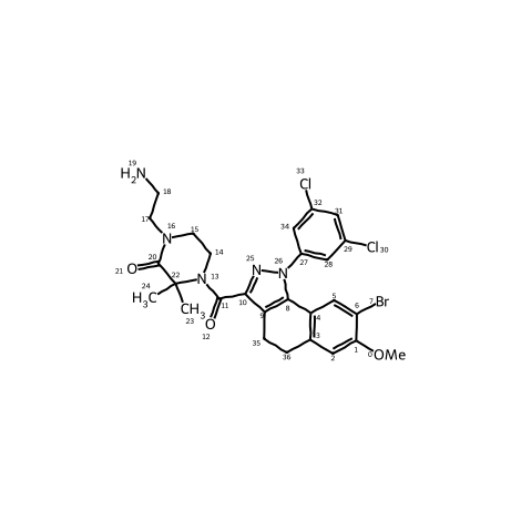 COc1cc2c(cc1Br)-c1c(c(C(=O)N3CCN(CCN)C(=O)C3(C)C)nn1-c1cc(Cl)cc(Cl)c1)CC2